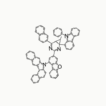 CC1C2C(c3ccc4ccccc4c3)=NC(c3cc(-n4c5cc6ccccc6cc5c5c6ccccc6ccc54)c4c(c3)oc3ccccc34)=NC12c1cccc2c3ccccc3n(-c3ccccc3)c12